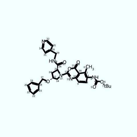 Cc1c(NC(=O)OC(C)(C)C)ccc2nc(N3C[C@H](OCc4ccccc4)C[C@H]3C(=O)NCc3ccncc3)oc(=O)c12